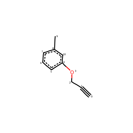 C#CCOc1[c]ccc(C)c1